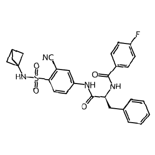 N#Cc1cc(NC(=O)[C@H](Cc2ccccc2)NC(=O)c2ccc(F)cc2)ccc1S(=O)(=O)NC12CC(C1)C2